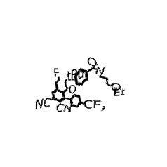 CCOCCCN(C)C(=O)c1ccc(O/C(CC(C)(C)C)=c2\c(-c3ccc(C(F)(F)F)cc3)c(C#N)c(C#N)c\c2=C\CF)cc1